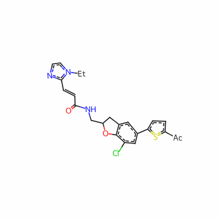 CCn1ccnc1C=CC(=O)NCC1Cc2cc(-c3ccc(C(C)=O)s3)cc(Cl)c2O1